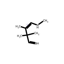 B=CC(C)(C)/C(C)=C\NC